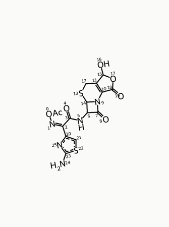 CC(=O)O/N=C(\C(=O)NC1C(=O)N2C3=C(CSC12)C(O)OC3=O)c1csc(N)n1